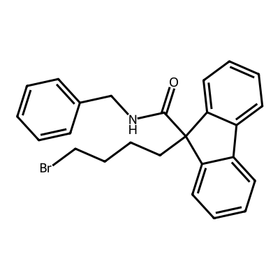 O=C(NCc1ccccc1)C1(CCCCBr)c2ccccc2-c2ccccc21